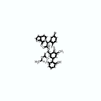 CCOC(=O)C[C@H](NC(=O)C(c1cc(Br)ccc1F)n1ccc2ccoc2c1=O)c1cc(-c2c(C)cccc2O)cc(C)c1F